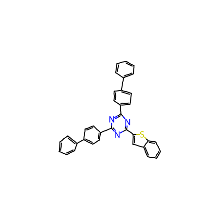 c1ccc(-c2ccc(-c3nc(-c4ccc(-c5ccccc5)cc4)nc(-c4cc5ccccc5s4)n3)cc2)cc1